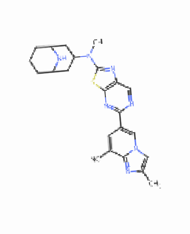 Cc1cn2cc(-c3ncc4nc(N(C)C5CC6CCCC(C5)N6)sc4n3)cc(C#N)c2n1